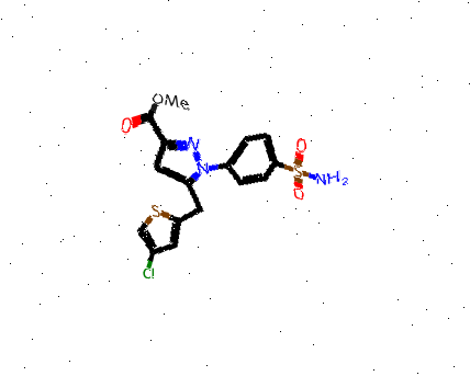 COC(=O)c1cc(Cc2cc(Cl)cs2)n(-c2ccc(S(N)(=O)=O)cc2)n1